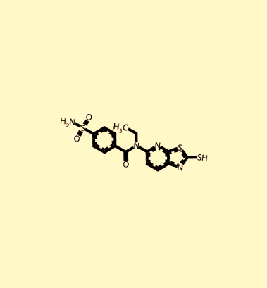 CCN(C(=O)c1ccc(S(N)(=O)=O)cc1)c1ccc2nc(S)sc2n1